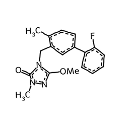 COc1nn(C)c(=O)n1Cc1cc(-c2ccccc2F)ccc1C